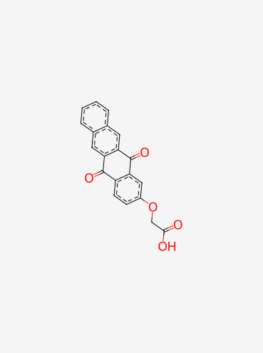 O=C(O)COc1ccc2c(c1)C(=O)c1cc3ccccc3cc1C2=O